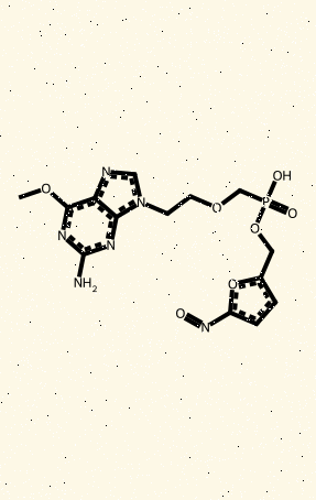 COc1nc(N)nc2c1ncn2CCOCP(=O)(O)OCc1ccc(N=O)o1